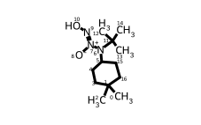 CC1(C)CCC(N([N+]([O-])=NO)C(C)(C)C)CC1